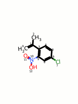 C=C(C)c1ccc(Cl)cc1[N+](=O)O